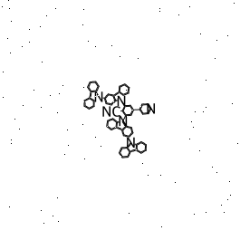 N#Cc1c(-n2c3ccccc3c3cc(-n4c5ccccc5c5ccccc54)ccc32)cc(-c2ccncc2)cc1-n1c2ccccc2c2cc(-n3c4ccccc4c4ccccc43)ccc21